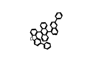 c1ccc(-c2ccc3c(-c4c5ccccc5c(-c5cccc6oc7ccc(-c8ccccc8)cc7c56)c5ccccc45)cccc3c2)cc1